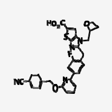 N#Cc1ccc(COc2cccc(-c3ccc(Cc4nc5sc(C(=O)O)cc5n4CC4CCO4)c(F)c3)n2)cc1